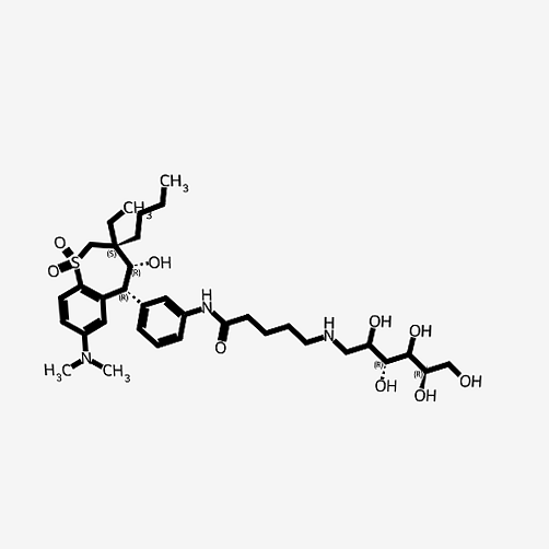 CCCC[C@]1(CC)CS(=O)(=O)c2ccc(N(C)C)cc2[C@@H](c2cccc(NC(=O)CCCCNCC(O)[C@@H](O)C(O)[C@H](O)CO)c2)[C@H]1O